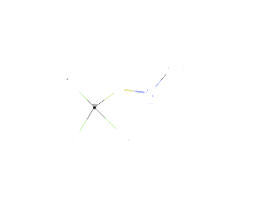 CNSC(F)(F)F